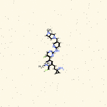 C=NC(=C\F)/C(=C\C(=C/C)c1nc(Nc2ccc(CN3CC4CN(C)C4C3)cn2)ncc1F)CCC1(N)CC1